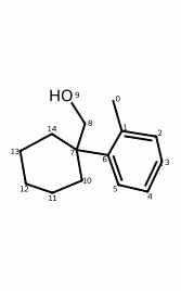 Cc1c[c]ccc1C1(CO)CCCCC1